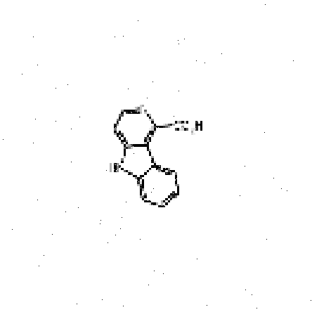 O=C(O)c1nccc2[nH]c3ccccc3c12